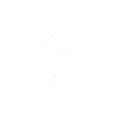 CCC(=O)N(CCCCCCc1ccccc1)C1CCc2c(N)cccc2C1